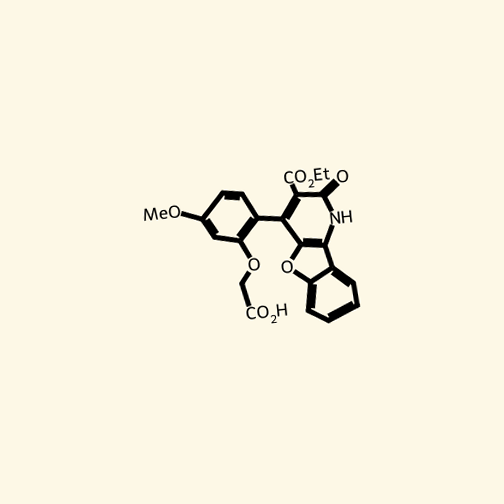 CCOC(=O)c1c(-c2ccc(OC)cc2OCC(=O)O)c2oc3ccccc3c2[nH]c1=O